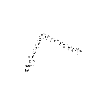 [In+3].[In+3].[Mo+6].[Mo+6].[O-2].[O-2].[O-2].[O-2].[O-2].[O-2].[O-2].[O-2].[O-2].[O-2].[O-2].[Zn+2].[Zn+2]